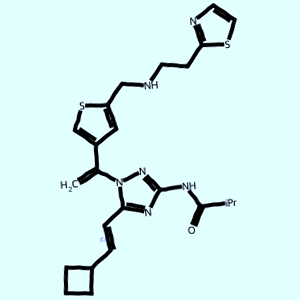 C=C(c1csc(CNCCc2nccs2)c1)n1nc(NC(=O)C(C)C)nc1/C=C/C1CCC1